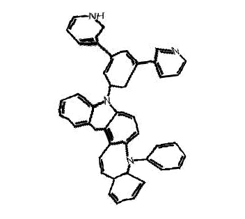 C1=CNCC(C2=CC(n3c4ccccc4c4c5c(ccc43)N(c3ccccc3)C3C=CC=CC3C=C5)CC(c3cccnc3)=C2)=C1